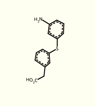 Nc1cccc(Sc2cccc(CC(=O)O)c2)c1